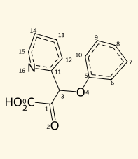 O=C(O)C(=O)C(Oc1ccccc1)c1ccccn1